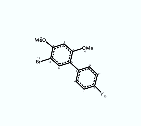 COc1cc(OC)c(-c2ccc(F)cc2)cc1Br